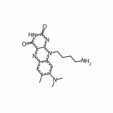 Cc1cc2nc3c(=O)[nH]c(=O)nc-3n(CCCCN)c2cc1N(C)C